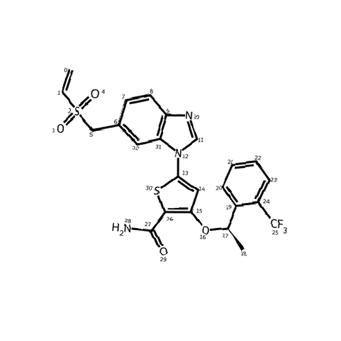 C=CS(=O)(=O)Cc1ccc2ncn(-c3cc(O[C@H](C)c4ccccc4C(F)(F)F)c(C(N)=O)s3)c2c1